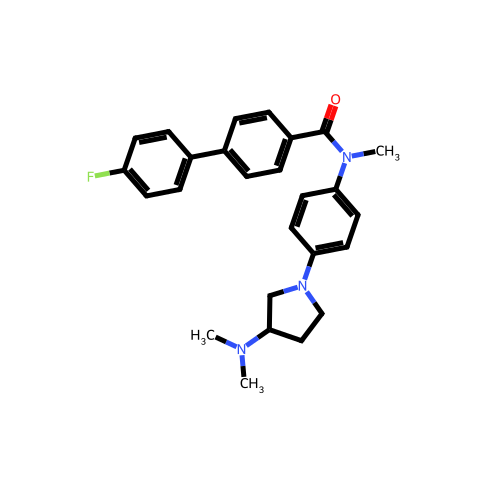 CN(C(=O)c1ccc(-c2ccc(F)cc2)cc1)c1ccc(N2CCC(N(C)C)C2)cc1